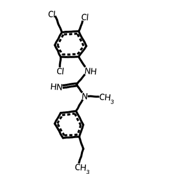 CCc1cccc(N(C)C(=N)Nc2cc(Cl)c(Cl)cc2Cl)c1